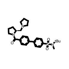 CN(C(C)(C)C)S(=O)(=O)c1ccc(-c2ccc(C(=O)N3CCC[C@H]3CN3CCCC3)cc2)cc1